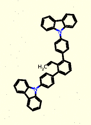 C=Cc1c(-c2ccc(-n3c4ccccc4c4ccccc43)cc2)cccc1-c1ccc(-n2c3ccccc3c3ccccc32)cc1